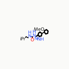 COc1ccccc1-c1ccc2c(NC(=O)NCCC(C)C)n[nH]c2c1